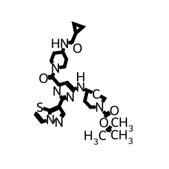 CC(C)(C)OC(=O)N1CCC(Nc2cc(C(=O)N3CCC(NC(=O)C4CC4)CC3)nc(-c3cnn4ccsc34)n2)CC1